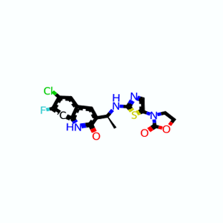 C[C@H](Nc1ncc(N2CCOC2=O)s1)c1cc2cc(Cl)c(F)cc2[nH]c1=O